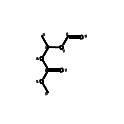 COC(=O)OC(C)OC=O